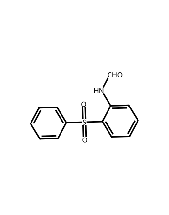 O=[C]Nc1ccccc1S(=O)(=O)c1ccccc1